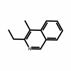 CCc1ncc2ccccc2c1C